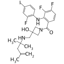 C=C(C)CC(C)(C)NCC1(O)CN(C(=O)c2ccc(F)c(F)c2Nc2ccc(I)cc2F)C1